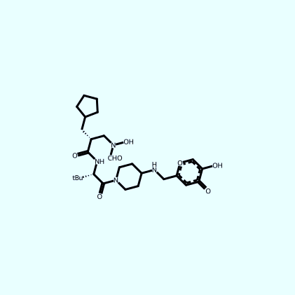 CC(C)(C)[C@H](NC(=O)[C@H](CC1CCCC1)CN(O)C=O)C(=O)N1CCC(NCc2cc(=O)c(O)co2)CC1